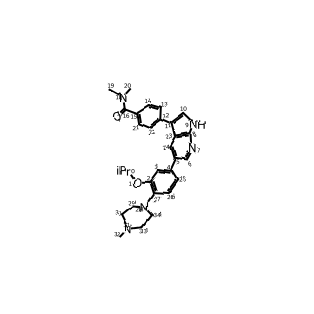 CC(C)Oc1cc(-c2cnc3[nH]cc(-c4ccc(C(=O)N(C)C)cc4)c3c2)ccc1N1CCN(C)CC1